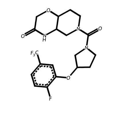 O=C1COC2CCN(C(=O)N3CCC(Oc4cc(C(F)(F)F)ccc4F)C3)CC2N1